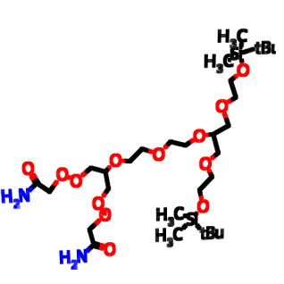 CC(C)(C)[Si](C)(C)OCCOCC(COCCO[Si](C)(C)C(C)(C)C)OCCOCCOC(COOCC(N)=O)COOCC(N)=O